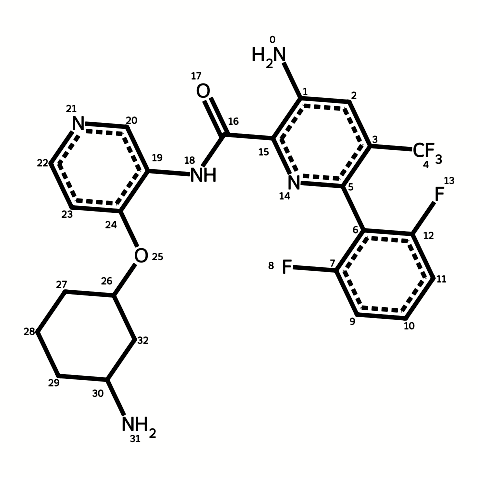 Nc1cc(C(F)(F)F)c(-c2c(F)cccc2F)nc1C(=O)Nc1cnccc1OC1CCCC(N)C1